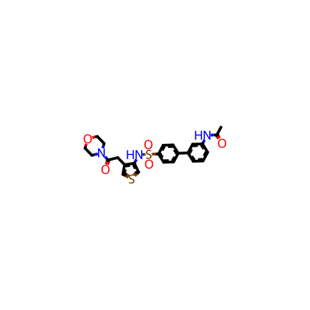 CC(=O)Nc1cccc(-c2ccc(S(=O)(=O)Nc3cscc3CC(=O)N3CCOCC3)cc2)c1